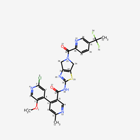 COc1cnc(Cl)cc1-c1cc(C)ncc1C(=O)Nc1nc2c(s1)CN(C(=O)c1ccc(C(C)(F)F)cn1)C2